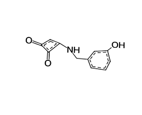 O=c1cc(NCc2cccc(O)c2)c1=O